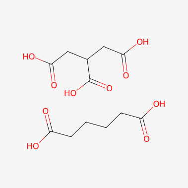 O=C(O)CC(CC(=O)O)C(=O)O.O=C(O)CCCCC(=O)O